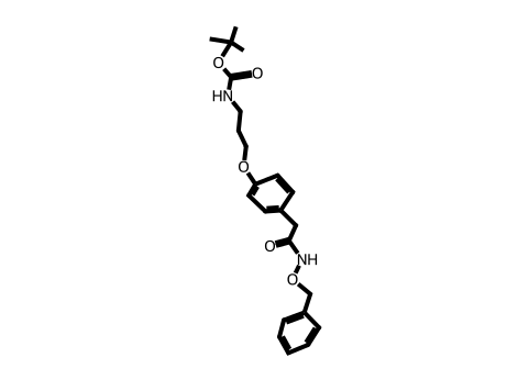 CC(C)(C)OC(=O)NCCCOc1ccc(CC(=O)NOCc2ccccc2)cc1